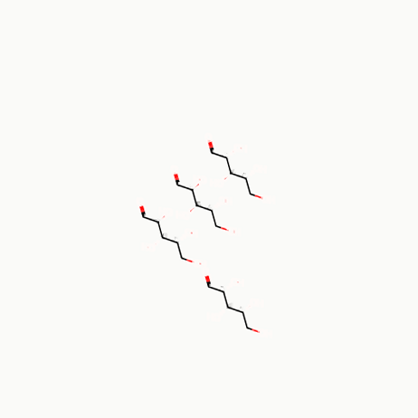 O=C[C@@H](O)[C@@H](O)[C@H](O)CO.O=C[C@@H](O)[C@H](O)[C@H](O)CO.O=C[C@H](O)[C@@H](O)[C@H](O)CO.O=C[C@H](O)[C@H](O)[C@H](O)CO